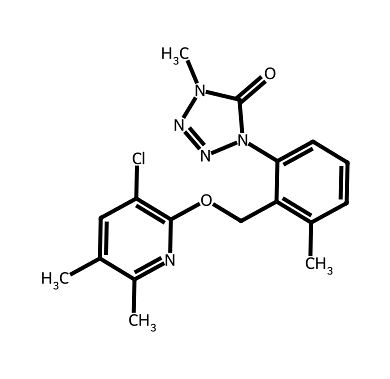 Cc1cc(Cl)c(OCc2c(C)cccc2-n2nnn(C)c2=O)nc1C